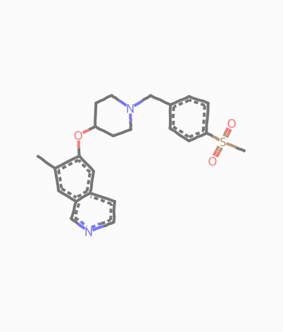 Cc1cc2cnccc2cc1OC1CCN(Cc2ccc(S(C)(=O)=O)cc2)CC1